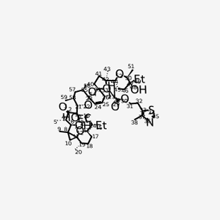 CC[C@@H](C(=O)[C@@H](C)[C@@H](O)C1(C)C[C@]12O[C@@H]([C@@H](CC)C(=O)O)CC[C@@H]2C)[C@H]1O[C@]2(C=C[C@@H](NC(=O)OCCc3scnc3C)[C@]3(CC[C@@](C)([C@H]4CC[C@](O)(CC)[C@H](C)O4)O3)O2)[C@H](C)C[C@@H]1C